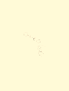 COc1ccc2nc(NC(=O)C(CC3CCCC3)c3ccc(S(=O)(=O)N4CCN(c5ccccc5C)CC4)cc3)sc2n1